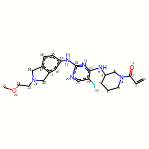 C=CC(=O)N1CCCC(Nc2nc(Nc3ccc4c(c3)CN(CCOC)C4)ncc2F)C1